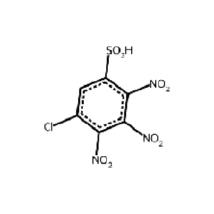 O=[N+]([O-])c1c(Cl)cc(S(=O)(=O)O)c([N+](=O)[O-])c1[N+](=O)[O-]